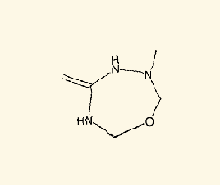 C=C1NCOCN(C)N1